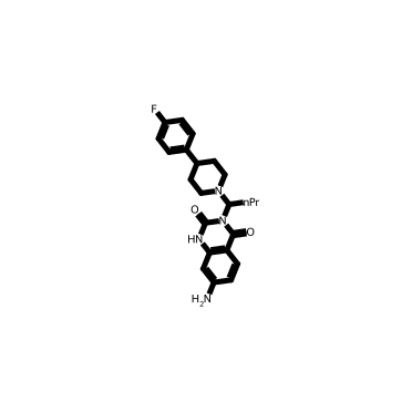 CCCC(N1CCC(c2ccc(F)cc2)CC1)n1c(=O)[nH]c2cc(N)ccc2c1=O